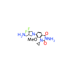 COc1c(N2CC(CN)C(F)(F)C2)ccc2c(=O)n(N)c(=O)n(C3CC3)c12